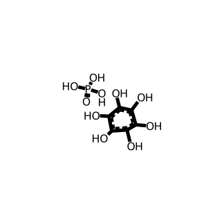 O=P(O)(O)O.Oc1c(O)c(O)c(O)c(O)c1O